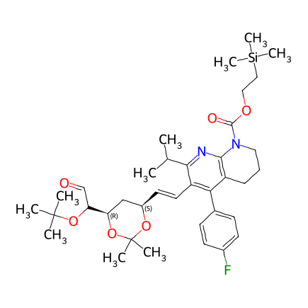 CC(C)c1nc2c(c(-c3ccc(F)cc3)c1C=C[C@@H]1C[C@H](C(C=O)OC(C)(C)C)OC(C)(C)O1)CCCN2C(=O)OCC[Si](C)(C)C